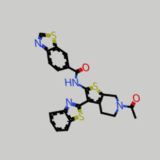 CC(=O)N1CCc2c(sc(NC(=O)c3ccc4ncsc4c3)c2-c2nc3ccccc3s2)C1